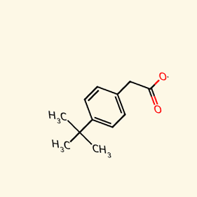 CC(C)(C)c1ccc(CC([O])=O)cc1